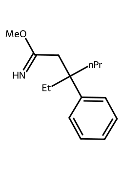 CCCC(CC)(CC(=N)OC)c1ccccc1